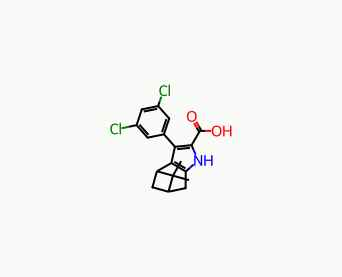 CC1(C)C2Cc3[nH]c(C(=O)O)c(-c4cc(Cl)cc(Cl)c4)c3C1C2